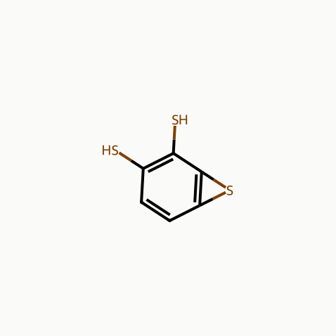 Sc1ccc2c(c1S)S2